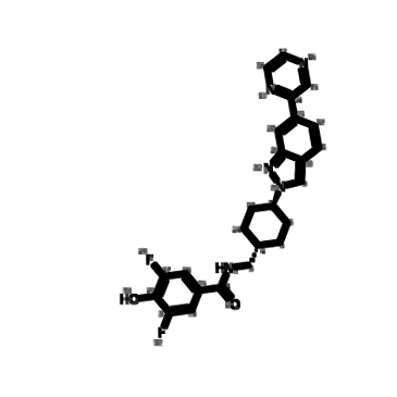 O=C(NC[C@H]1CC[C@H](n2cc3ccc(-c4cnccn4)cc3n2)CC1)c1cc(F)c(O)c(F)c1